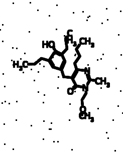 CCCCc1nc(C)n(CCOC)c(=O)c1Cc1cc(CCC)c(O)c(CCC)c1